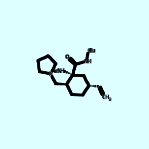 C=C[C@@H]1CC[C@@H](CN2CCCC2)[C@@](NC(C)=O)(C(=O)NC(C)(C)C)C1